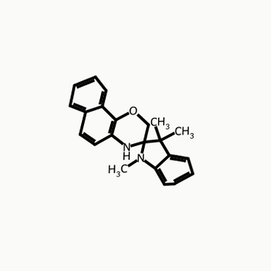 CN1c2ccccc2C(C)(C)C12COc1c(ccc3ccccc13)N2